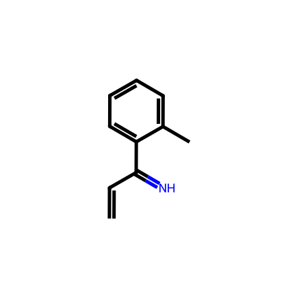 C=CC(=N)c1ccccc1C